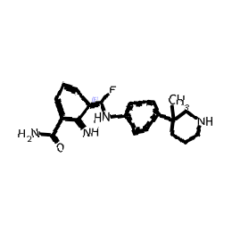 CC1(c2ccc(N/C(F)=C3/C=CC=C(C(N)=O)C3=N)cc2)CCCNC1